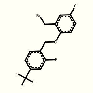 Fc1cc(C(F)(F)F)ccc1COc1ccc(Cl)cc1CBr